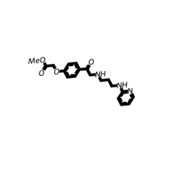 COC(=O)COc1ccc(C(=O)CNCCCNc2ccccn2)cc1